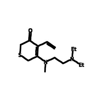 C=CC1=C(N(C)CCN(CC)CC)CSCC1=O